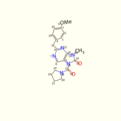 COc1ccc(Cc2ncc3c(n2)n(C)c(=O)n3C(=O)N2CCCC2)cc1